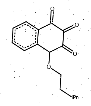 CC(C)CCOC1C(=O)C(=O)C(=O)c2ccccc21